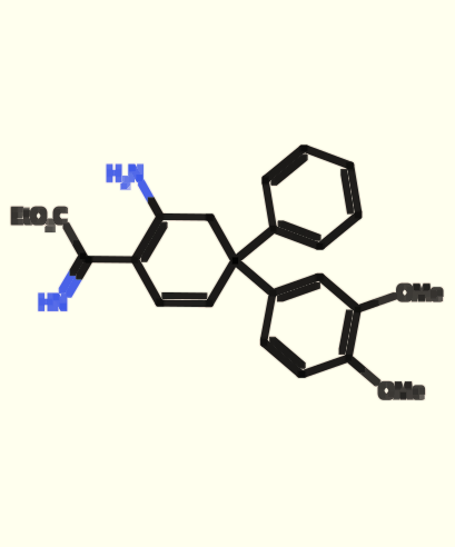 CCOC(=O)C(=N)C1=C(N)CC(c2ccccc2)(c2ccc(OC)c(OC)c2)C=C1